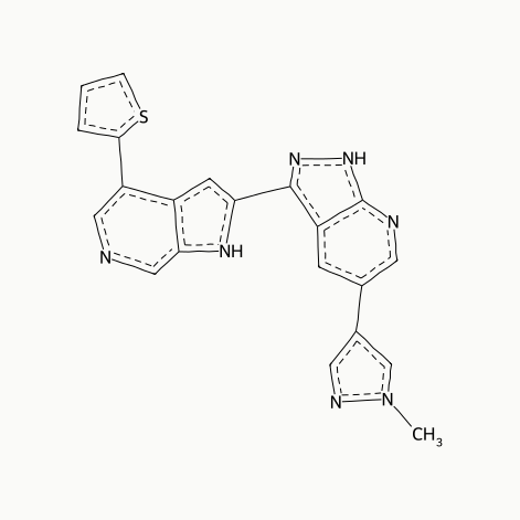 Cn1cc(-c2cnc3[nH]nc(-c4cc5c(-c6cccs6)cncc5[nH]4)c3c2)cn1